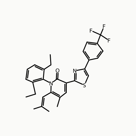 CCc1cccc(CC)c1-n1c(C=C(C)C)c(C)cc(-c2nc(-c3ccc(C(F)(F)F)cc3)cs2)c1=O